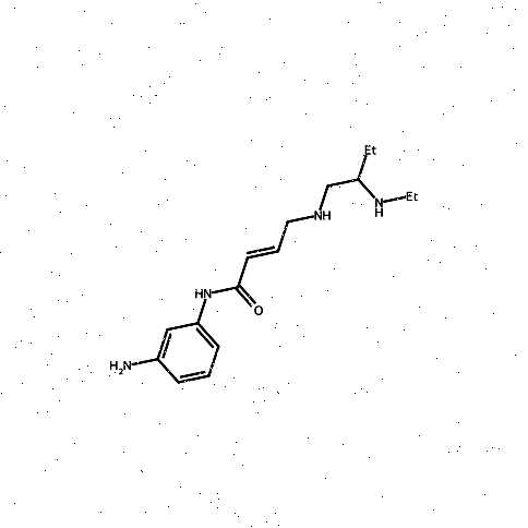 CCNC(CC)CNC/C=C/C(=O)Nc1cccc(N)c1